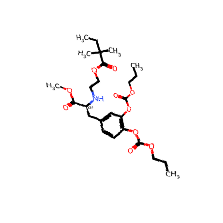 CCCOC(=O)Oc1ccc(C[C@H](NCCOC(=O)C(C)(C)CC)C(=O)OC)cc1OC(=O)OCCC